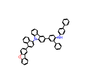 c1ccc(-c2ccc(Nc3ccc(-c4ccc5c(c4)c4ccccc4n5-c4ccc(-c5ccc6oc7ccccc7c6c5)c5ccccc45)cc3-c3ccccc3)cc2)cc1